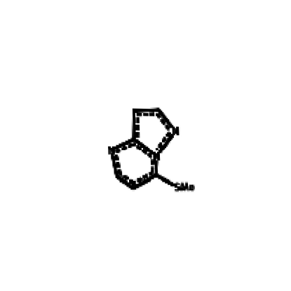 CSc1ccnc2ccnn12